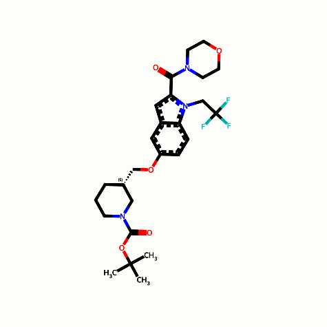 CC(C)(C)OC(=O)N1CCC[C@H](COc2ccc3c(c2)cc(C(=O)N2CCOCC2)n3CC(F)(F)F)C1